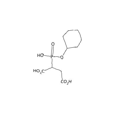 O=C(O)CC(C(=O)O)P(=O)(O)OC1CCCCC1